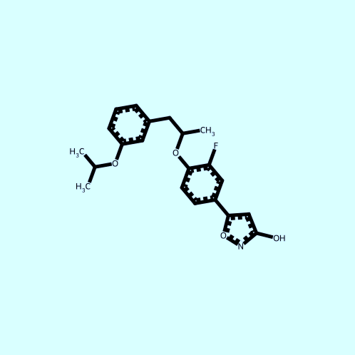 CC(C)Oc1cccc(CC(C)Oc2ccc(-c3cc(O)no3)cc2F)c1